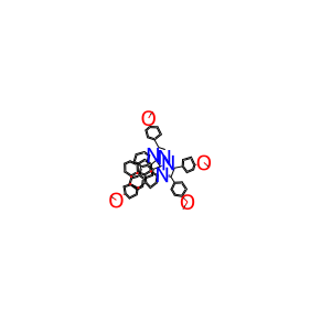 COc1ccc(C2=NC(c3cc4ccccc4c4c(-c5ccc(OC)cc5)cccc34)(C3(c4cc5ccccc5c5ccccc45)N=C(c4ccc(OC)cc4)C(c4ccc(OC)cc4)=N3)N=C2)cc1